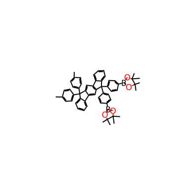 Cc1ccc(C2(c3ccc(C)cc3)c3ccccc3-c3cc4c(cc32)-c2ccccc2C4(c2ccc(B3OC(C)(C)C(C)(C)O3)cc2)c2ccc(B3OC(C)(C)C(C)(C)O3)cc2)cc1